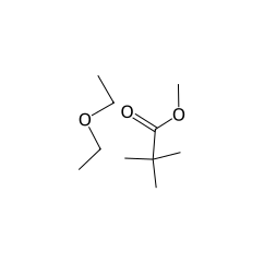 CCOCC.COC(=O)C(C)(C)C